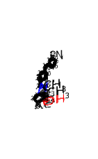 CC(=O)c1ccc(N(C)Cc2ccc(Cc3cccc(C#N)c3)cc2)c(C)c1O